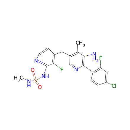 CNS(=O)(=O)Nc1nccc(Cc2cnc(-c3ccc(Cl)cc3F)c(N)c2C)c1F